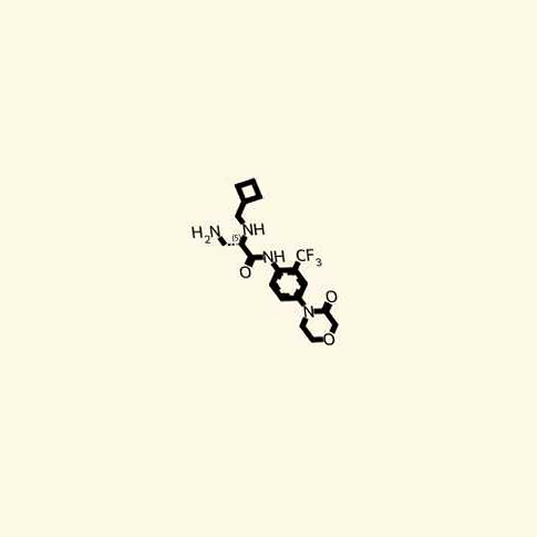 NC[C@H](NCC1CCC1)C(=O)Nc1ccc(N2CCOCC2=O)cc1C(F)(F)F